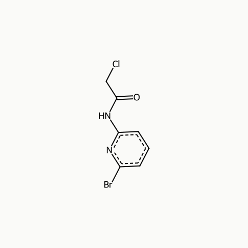 O=C(CCl)Nc1cccc(Br)n1